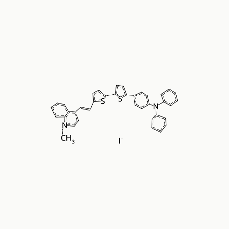 CC[n+]1ccc(/C=C/c2ccc(-c3ccc(-c4ccc(N(c5ccccc5)c5ccccc5)cc4)s3)s2)c2ccccc21.[I-]